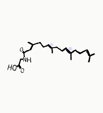 CC(C)=CCC/C(C)=C/CC/C(C)=C/CCC(C)CC(=O)NCC(=O)O